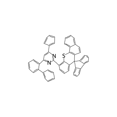 c1ccc(-c2cc(-c3ccccc3-c3ccccc3)nc(-c3cccc4c3Sc3c(ccc5ccccc35)C43c4ccccc4-c4ccccc43)n2)cc1